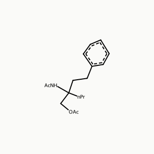 CCCC(CCc1ccccc1)(COC(C)=O)NC(C)=O